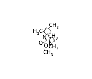 CCOC(=O)C(=Nc1c(C)cc(C)cc1C)c1cccn1C